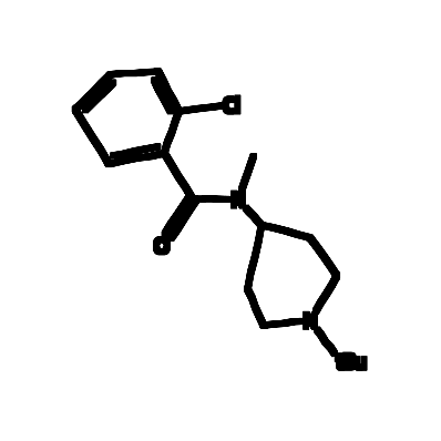 CN(C(=O)c1ccccc1Cl)C1CCN(C(C)(C)C)CC1